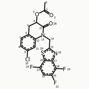 CC(=O)OC1Cc2ccc(Cl)cc2N(Cc2nc3c(F)c(F)cc(F)c3s2)C1=O